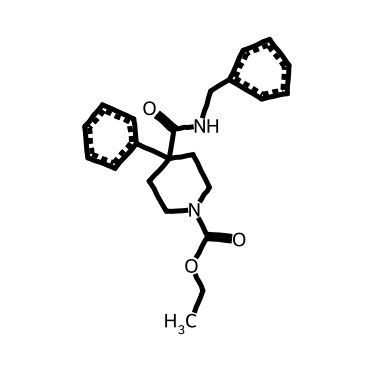 CCOC(=O)N1CCC(C(=O)NCc2ccccc2)(c2ccccc2)CC1